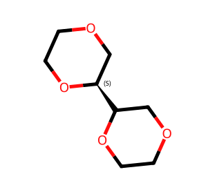 C1COC([C@@H]2COCCO2)CO1